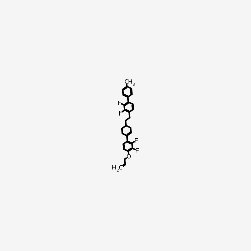 C=CCOc1ccc(C2=CCC(CCc3ccc(-c4ccc(C)cc4)c(F)c3F)CC2)c(F)c1F